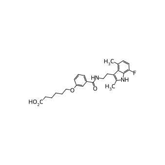 Cc1[nH]c2c(F)ccc(C)c2c1CCNC(=O)c1cccc(OCCCCCC(=O)O)c1